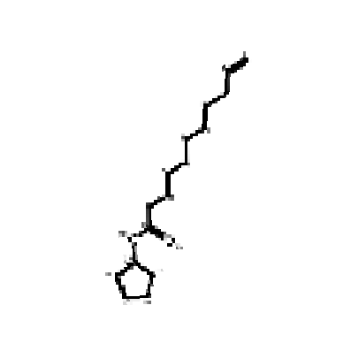 C=CCCCCCCCCC(=O)OC1CCCC1